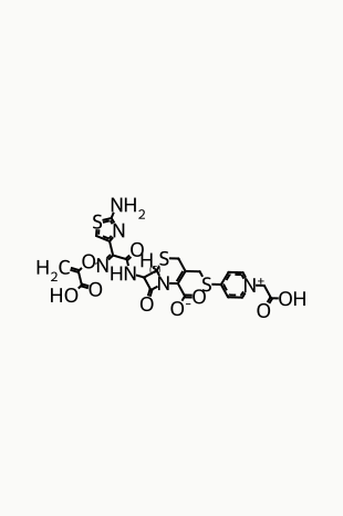 C=C(ON=C(C(=O)NC1C(=O)N2C(C(=O)[O-])=C(CSc3cc[n+](CC(=O)O)cc3)CS[C@@H]12)c1csc(N)n1)C(=O)O